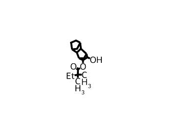 CCC(C)(C)C(=O)OC1C(O)C2CC1C1C3CCC(C3)C21